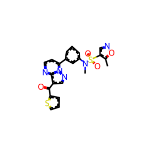 Cc1oncc1S(=O)(=O)N(C)c1cccc(-c2ccnc3c(C(=O)c4cccs4)cnn23)c1